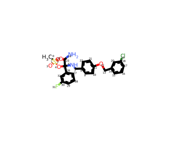 CS(=O)(=O)OC(NCc1ccc(OCc2cccc(Cl)c2)cc1)(C(N)=O)c1cccc(F)c1